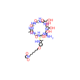 CCC(C)C1NC(=O)CNC(=O)CNC(=O)C([C@@H](C)C(O)CO)NC(=O)C2C[C@@H](O)CN2C(O)C(CC(N)=O)NC(=O)[C@H](CSc2[nH]c3cc(OC=CCCCCCCN4C(=O)C=CC4=O)ccc3c2C)NC(=O)CNC1=O